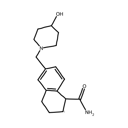 NC(=O)C1[C]CCc2cc(CN3CCC(O)CC3)ccc21